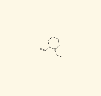 C=CC1CCCCN1CC